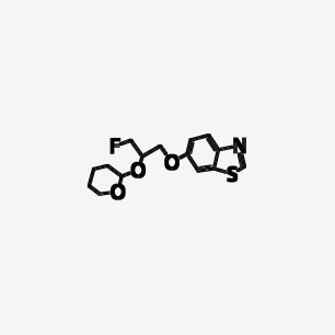 FCC(COc1ccc2ncsc2c1)OC1CCCCO1